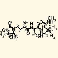 CNC(=O)[C@@H](N(C)C(=O)C(CS)NC(=O)[C@@H](S)CCN1C(=O)N(C)C(C)(C)C1=O)C(C)(C)C